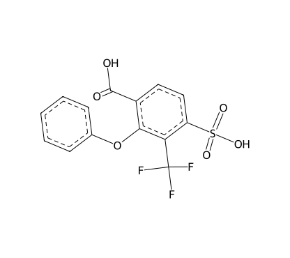 O=C(O)c1ccc(S(=O)(=O)O)c(C(F)(F)F)c1Oc1ccccc1